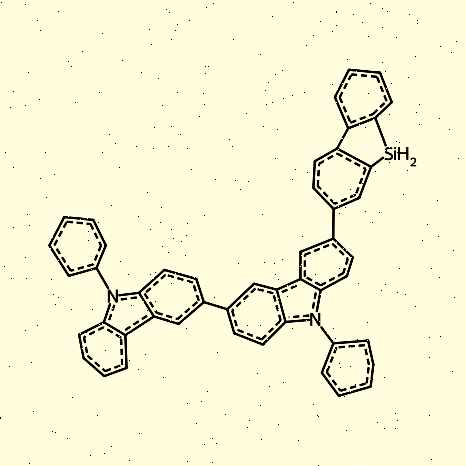 c1ccc(-n2c3ccccc3c3cc(-c4ccc5c(c4)c4cc(-c6ccc7c(c6)[SiH2]c6ccccc6-7)ccc4n5-c4ccccc4)ccc32)cc1